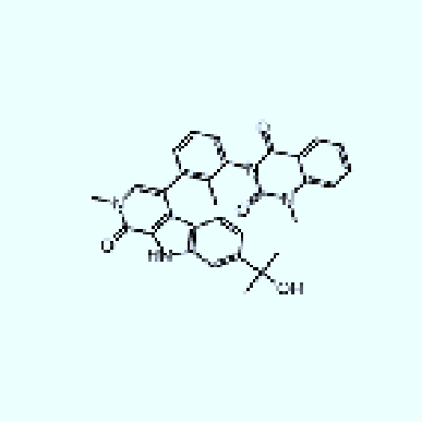 Cc1c(-c2cn(C)c(=O)c3[nH]c4cc(C(C)(C)O)ccc4c23)cccc1-n1c(=O)c2ccccc2n(C)c1=O